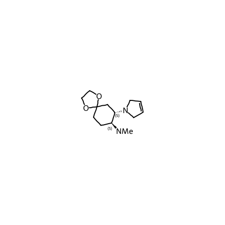 CN[C@H]1CCC2(C[C@@H]1N1CC=CC1)OCCO2